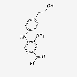 CCC(=O)c1ccc(Nc2ccc(CCO)cc2)c(N)c1